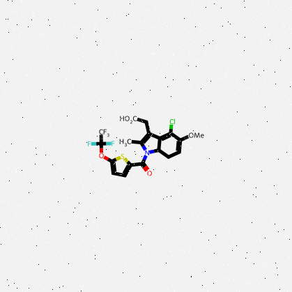 COC1=CCC2C(=C1Cl)C(CC(=O)O)=C(C)N2C(=O)c1ccc(OC(F)(F)C(F)(F)F)s1